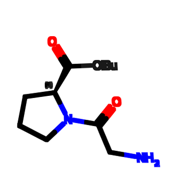 CC(C)COC(=O)[C@@H]1CCCN1C(=O)CN